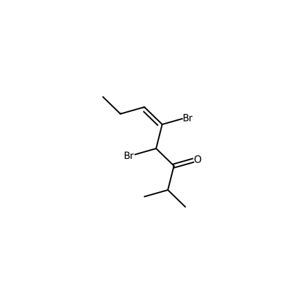 CC/C=C(/Br)C(Br)C(=O)C(C)C